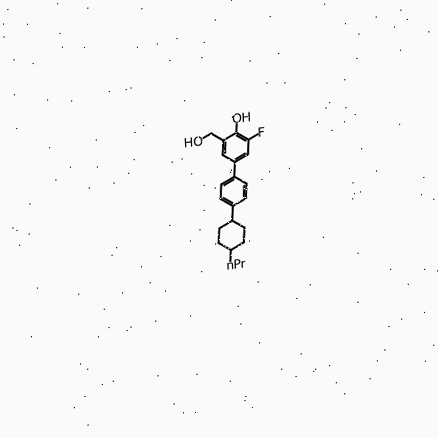 CCCC1CCC(c2ccc(-c3cc(F)c(O)c(CO)c3)cc2)CC1